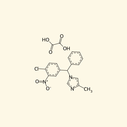 Cc1cn(C(c2ccccc2)c2ccc(Cl)c([N+](=O)[O-])c2)cn1.O=C(O)C(=O)O